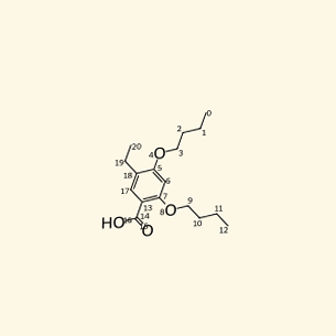 CCCCOc1cc(OCCCC)c(C(=O)O)cc1CC